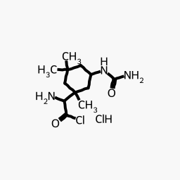 CC1(C)CC(NC(N)=O)CC(C)(C(N)C(=O)Cl)C1.Cl